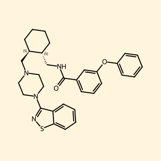 O=C(NC[C@H]1CCCC[C@@H]1CN1CCN(c2nsc3ccccc23)CC1)c1cccc(Oc2ccccc2)c1